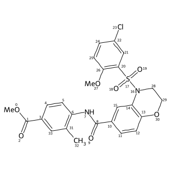 COC(=O)c1ccc(NC(=O)c2ccc3c(c2)N(S(=O)(=O)c2cc(Cl)ccc2OC)CCO3)c(C)c1